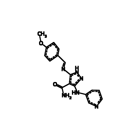 COc1ccc(C=Nc2[nH]nc(Nc3cccnc3)c2C(N)=O)cc1